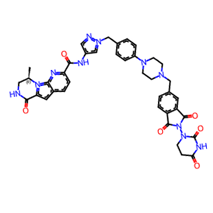 C[C@@H]1CNC(=O)c2cc3ccc(C(=O)Nc4cnn(Cc5ccc(N6CCN(Cc7ccc8c(c7)C(=O)N(N7CCC(=O)NC7=O)C8=O)CC6)cc5)c4)nc3n21